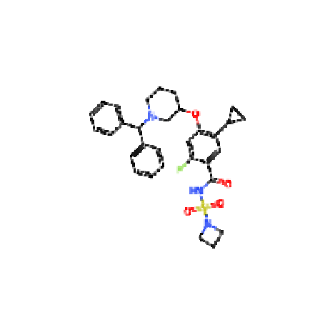 O=C(NS(=O)(=O)N1CCC1)c1cc(C2CC2)c(OC2CCCN(C(c3ccccc3)c3ccccc3)C2)cc1F